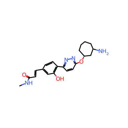 CNC(=O)/C=C/c1ccc(-c2ccc(O[C@H]3CCCCC(N)C3)nn2)c(O)c1